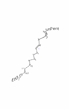 CCCCCC=CC/C=C/CCCCCCCC(=O)OCC